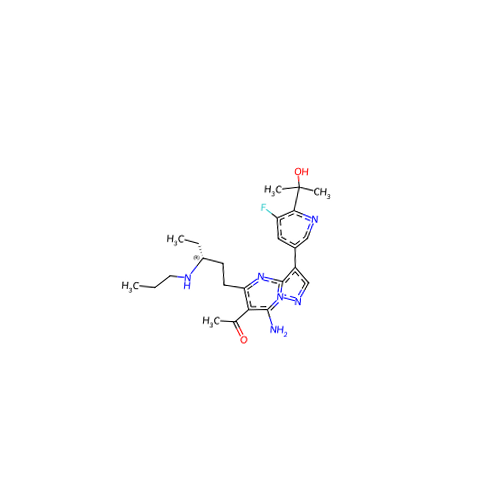 CCCN[C@H](CC)CCc1nc2c(-c3cnc(C(C)(C)O)c(F)c3)cnn2c(N)c1C(C)=O